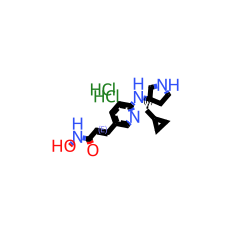 Cl.Cl.O=C(/C=C/c1ccc(N[C@]2(CC3CC3)CCNC2)nc1)NO